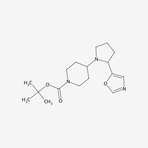 CC(C)(C)OC(=O)N1CCC(N2CCCC2c2cnco2)CC1